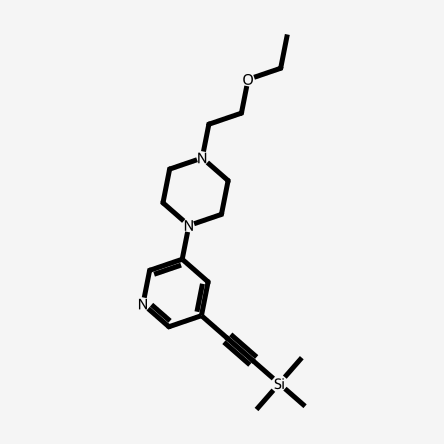 CCOCCN1CCN(c2cncc(C#C[Si](C)(C)C)c2)CC1